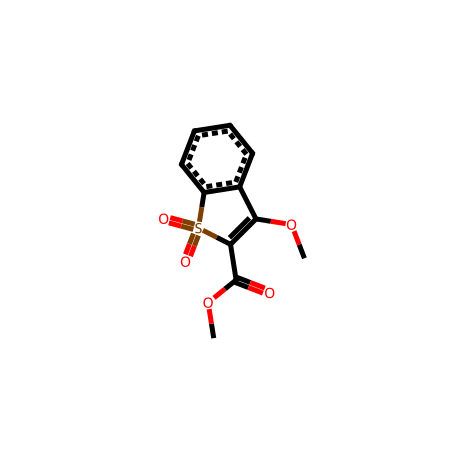 COC(=O)C1=C(OC)c2ccccc2S1(=O)=O